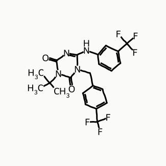 CC(C)(C)n1c(=O)nc(Nc2cccc(C(F)(F)F)c2)n(Cc2ccc(C(F)(F)F)cc2)c1=O